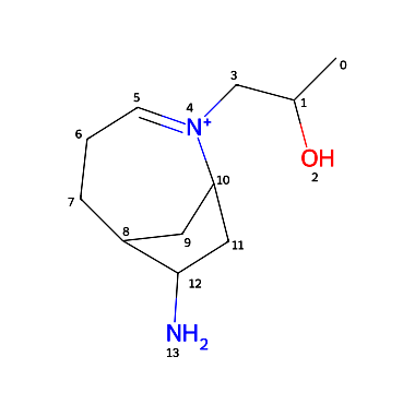 CC(O)C[N+]1=CCCC2CC1CC2N